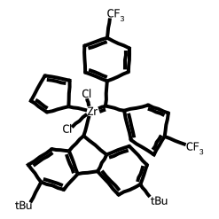 CC(C)(C)c1ccc2c(c1)-c1cc(C(C)(C)C)ccc1[CH]2[Zr]([Cl])([Cl])(=[C](c1ccc(C(F)(F)F)cc1)c1ccc(C(F)(F)F)cc1)[CH]1C=CC=C1